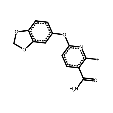 NC(=O)c1ccc(Oc2ccc3c(c2)OCO3)nc1F